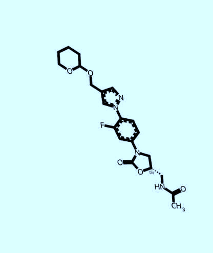 CC(=O)NC[C@H]1CN(c2ccc(-n3cc(COC4CCCCO4)cn3)c(F)c2)C(=O)O1